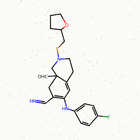 N=CC1=C(Nc2ccc(F)cc2)C=C2CCN(SCC3CCCO3)CC2(C=O)C1